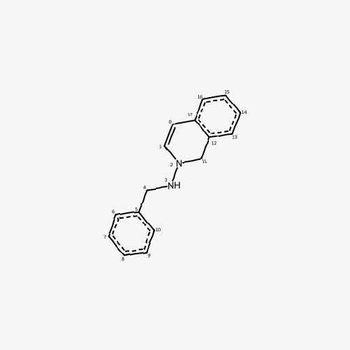 C1=CN(NCc2ccccc2)Cc2ccccc21